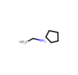 C1CCCC1.NCC(=O)O